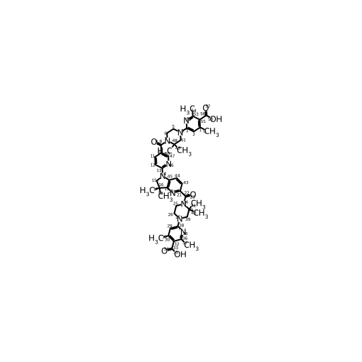 Cc1cc(N2CCN(C(=O)c3ccc(N4CC(C)(C)c5nc(C(=O)N6CCN(c7cc(C)c(C(=O)O)c(C)n7)CC6(C)C)ccc54)nc3)C(C)(C)C2)nc(C)c1C(=O)O